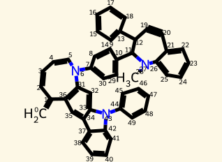 C=C1/C=C\C=C/N(c2ccc(C3C(c4ccccc4)C#Cc4ccccc4N3C)cc2)c2cc3c(cc21)c1ccccc1n3-c1ccccc1